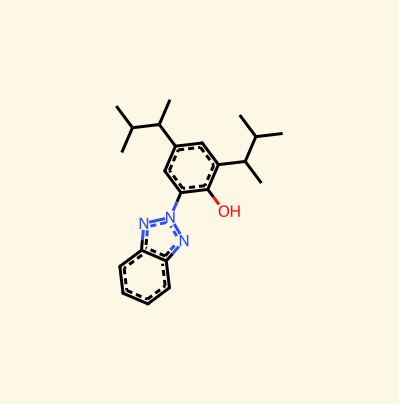 CC(C)C(C)c1cc(C(C)C(C)C)c(O)c(-n2nc3ccccc3n2)c1